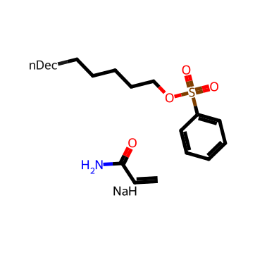 C=CC(N)=O.CCCCCCCCCCCCCCCOS(=O)(=O)c1ccccc1.[NaH]